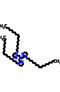 CCCCCCCC/C=C\CCCCCCCCN1CCCN=C1CN(CC1=NCCCN1CCCCCCCC/C=C\CCCCCCCC)CC1=NCCCN1CCCCCCCC/C=C\CCCCCCCC